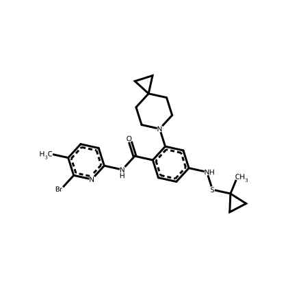 Cc1ccc(NC(=O)c2ccc(NSC3(C)CC3)cc2N2CCC3(CC2)CC3)nc1Br